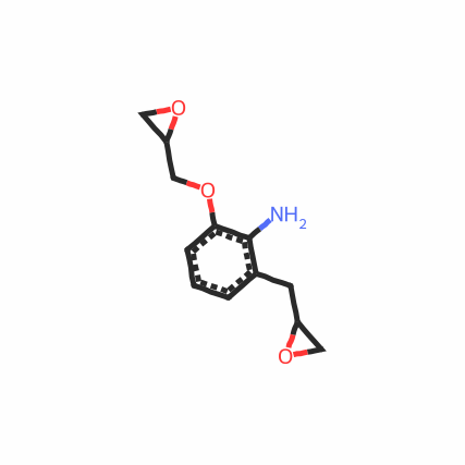 Nc1c(CC2CO2)cccc1OCC1CO1